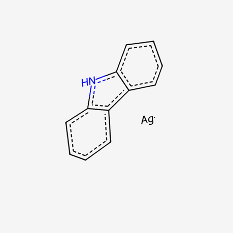 [Ag].c1ccc2c(c1)[nH]c1ccccc12